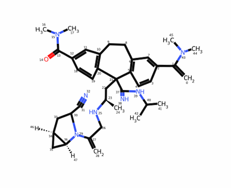 C=C(c1ccc2c(c1)CCc1cc(C(=O)N(C)C)ccc1C2(C[C@@H](C)NCC(=C)N1C(C#N)C[C@@H]2C[C@@H]21)C(=N)NC(C)C)N(C)C